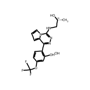 C[C@@H](O)CNc1nnc(-c2ccc(OC(F)(F)F)cc2O)c2cccn12.Cl